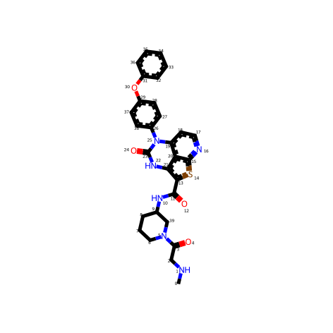 CNCC(=O)N1CCCC(NC(=O)c2sc3nccc4c3c2NC(=O)N4c2ccc(Oc3ccccc3)cc2)C1